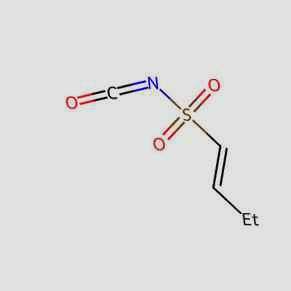 CCC=CS(=O)(=O)N=C=O